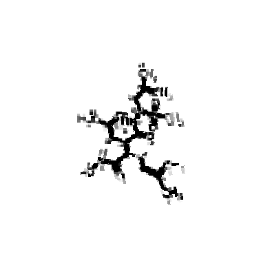 CC(C)=CC[C@H](C(=O)NO)[C@@H](CC(C)C)C(=O)NN(CC(C)C)S(C)(=O)=O